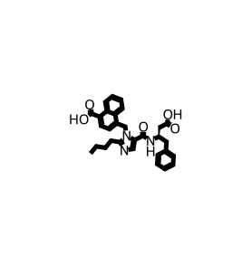 CCCCc1ncc(C(=O)N[C@@H](CC(=O)O)Cc2ccccc2)n1Cc1ccc(C(=O)O)c2ccccc12